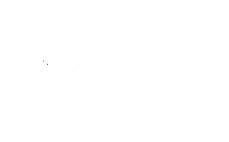 CCCCCCOC(=O)CNC=O